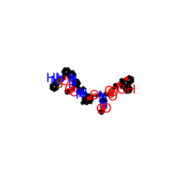 Cc1c(-c2ccc(N3CCc4cccc(C(=O)Nc5nc6ccccc6s5)c4C3)nc2C(=O)OC(C)(C)C)cnn1CC12CC3(C)CC(C)(C1)CC(OCCN(CCS(=O)(=O)OCC(C)(C)CC(O)[Si](c1ccccc1)(c1ccccc1)C(C)(C)C)C1CN(C(=O)OC(C)(C)C)C1)(C3)C2